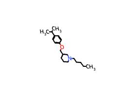 CCCCCN1CCCC(COc2ccc(C(C)C)cc2)C1